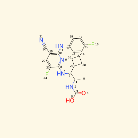 C[C@H](NC(=O)O)[C@@H](Nc1nc(Nc2ccc(F)cc2)c(C#N)cc1F)C1CCC1